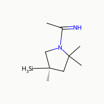 CC(=N)N1C[C@](C)([SiH3])CC1(C)C